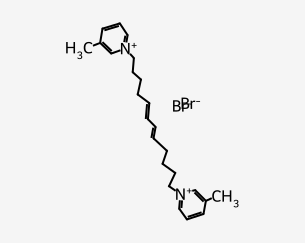 Cc1ccc[n+](CCCCC=CC=CCCCC[n+]2cccc(C)c2)c1.[Br-].[Br-]